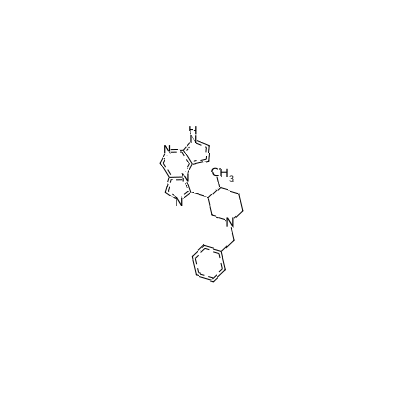 CC1CCN(Cc2ccccc2)CC1c1ncc2cnc3[nH]ccc3n12